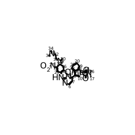 COC1=C(Nc2nccc(-c3cn(S(=O)(=O)N(C)C)c4ccccc34)n2)C=C([N+](=O)[O-])C(N(C)CCN(C)C)C1